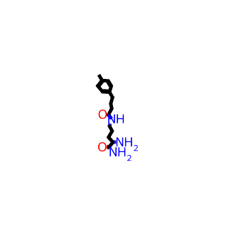 Cc1ccc(CCCC(=O)NCCCC(N)C(N)=O)cc1